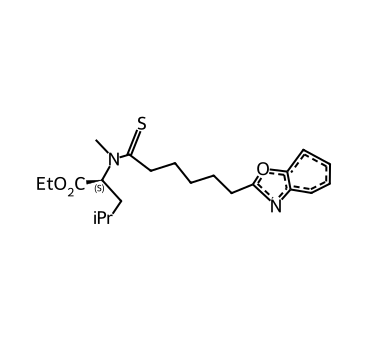 CCOC(=O)[C@H](CC(C)C)N(C)C(=S)CCCCCc1nc2ccccc2o1